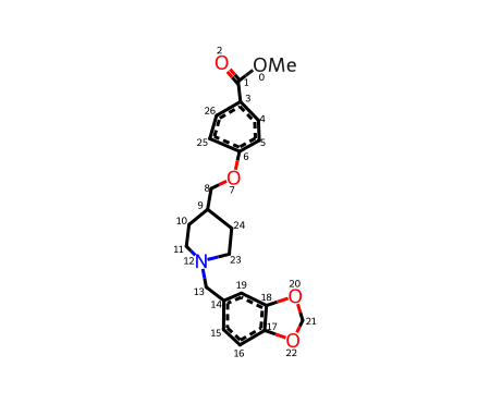 COC(=O)c1ccc(OCC2CCN(Cc3ccc4c(c3)OCO4)CC2)cc1